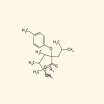 COC(=O)C(CC(C)C)(Oc1ccc(C)cc1)C(C)C(C)C(C)(C)C